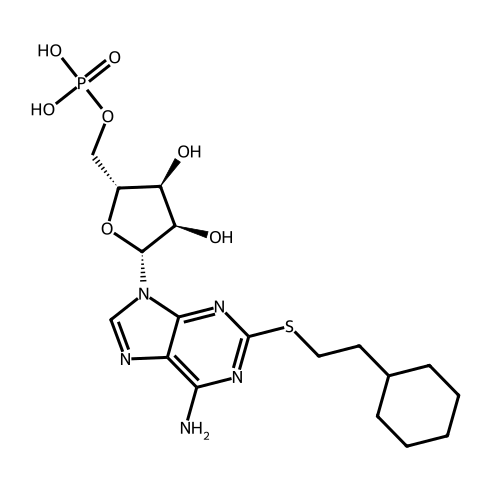 Nc1nc(SCCC2CCCCC2)nc2c1ncn2[C@@H]1O[C@H](COP(=O)(O)O)[C@@H](O)[C@H]1O